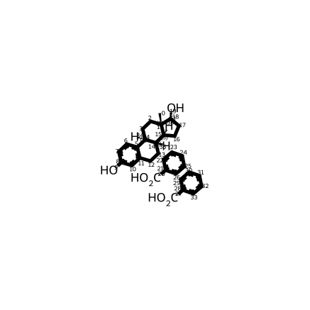 C[C@]12CC[C@@H]3c4ccc(O)cc4CC[C@H]3[C@@H]1CC[C@@H]2O.O=C(O)c1ccccc1.O=C(O)c1ccccc1